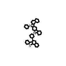 c1ccc(-n2c3cc4c(cc3c3c5ccccc5ccc32)c2ccccc2n4-c2cccc(-c3cc4ccccc4c4sc5ccccc5c34)c2)cc1